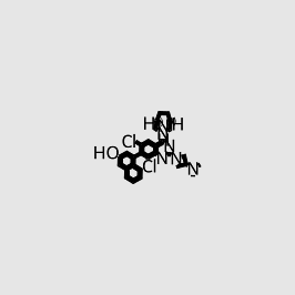 CN(C)C1CN(c2nc(N3C[C@H]4CC[C@@H](C3)N4)c3cc(Cl)c(-c4cc(O)cc5ccccc45)c(Cl)c3n2)C1